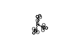 O=C1c2ccccc2C(=O)N1CCCCN(CCCCN1C(=O)c2ccccc2C1=O)CCOSc1cccc2c1OCCC2